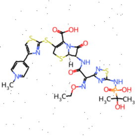 CCO/N=C(\C(=O)N[C@@H]1C(=O)N2C(C(=O)O)=C(Sc3nc(-c4cc[n+](C)cc4)cs3)CS[C@H]12)c1nsc(NP(=O)(O)C(C)(C)O)n1